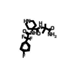 CC(C)(NC(=O)C1(NC(=O)C(F)(F)c2ccc(F)cc2)CCNCC1)C(N)=O